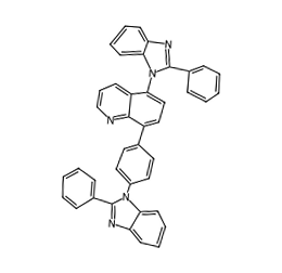 c1ccc(-c2nc3ccccc3n2-c2ccc(-c3ccc(-n4c(-c5ccccc5)nc5ccccc54)c4cccnc34)cc2)cc1